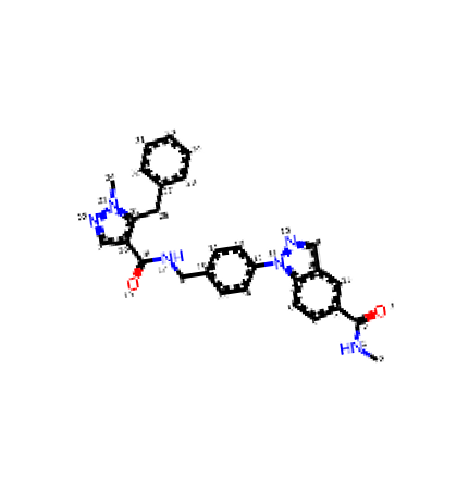 CNC(=O)c1ccc2c(cnn2-c2ccc(CNC(=O)c3cnn(C)c3Cc3ccccc3)cc2)c1